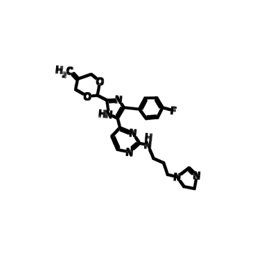 C=C1COC(c2nc(-c3ccc(F)cc3)c(-c3ccnc(NCCCN4C=NCC4)n3)[nH]2)OC1